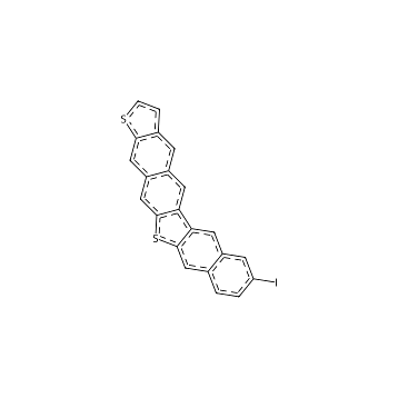 Ic1ccc2cc3sc4cc5cc6sccc6cc5cc4c3cc2c1